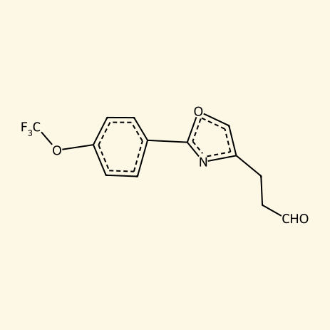 O=CCCc1coc(-c2ccc(OC(F)(F)F)cc2)n1